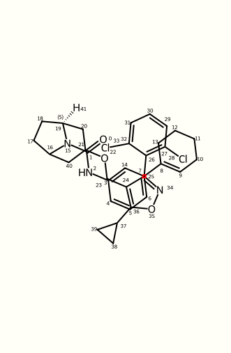 O=C(Nc1cccc(C2=CCCCC2)c1)N1C2CC[C@H]1CC(OCc1c(-c3c(Cl)cccc3Cl)noc1C1CC1)C2